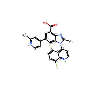 Cc1cc(-c2cc(C(=O)O)c3nc(C)n(-c4ccnc5c(F)ccc(F)c45)c3c2)ccn1